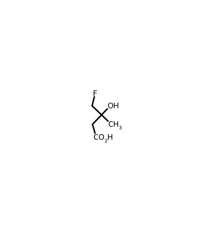 CC(O)(CF)CC(=O)O